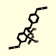 O=S(=O)(O)C1(S(=O)(=O)O)CC(N=C=S)=CC=C1C=Cc1ccc(N=C=S)cc1